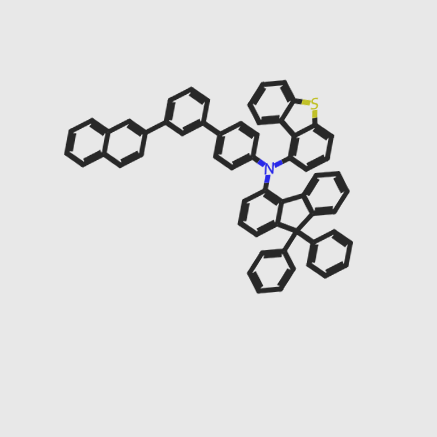 c1ccc(C2(c3ccccc3)c3ccccc3-c3c(N(c4ccc(-c5cccc(-c6ccc7ccccc7c6)c5)cc4)c4cccc5sc6ccccc6c45)cccc32)cc1